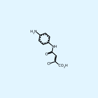 Nc1ccc(NC(=O)/C=C(\Cl)C(=O)O)cc1